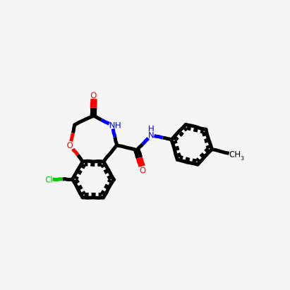 Cc1ccc(NC(=O)C2NC(=O)COc3c(Cl)cccc32)cc1